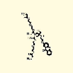 C=CC(=O)OCCOCCOC(C)OCC(CO)(COC(C)OCCOCCOC(=O)C=C)NCCOC1=CC2C(=O)c3ccccc3SC2C=C1